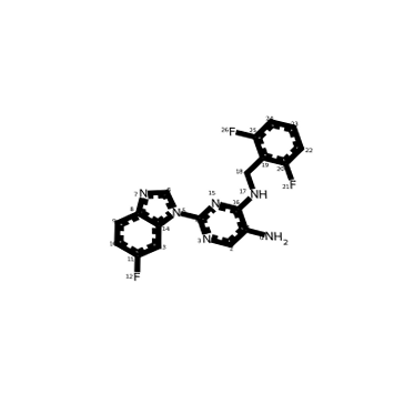 Nc1cnc(-n2cnc3ccc(F)cc32)nc1NCc1c(F)cccc1F